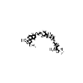 CCCC1c2ccc(OCCN3CCC(C(=O)Nc4ncc(SCc5ncc(C(C)(C)C)o5)s4)CC3)cc2CCN1C(=O)O